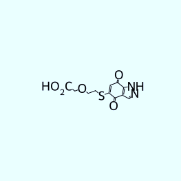 O=C(O)COCCSC1=CC(=O)c2[nH]ncc2C1=O